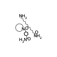 NC(=O)c1ccc(C(=O)N2CCCCCCCCCC2)cc1.NCCCCCCCCCCCC(N)=O